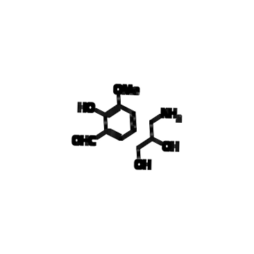 COc1cccc(C=O)c1O.NCC(O)CO